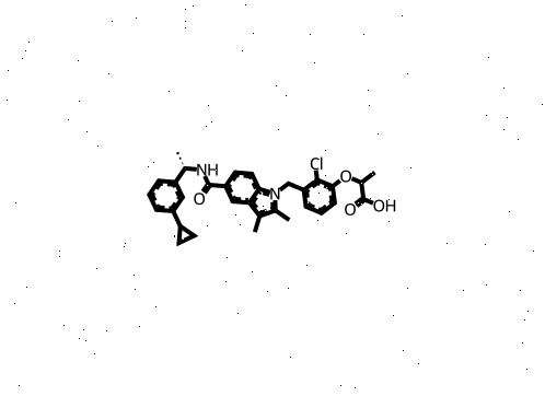 Cc1c(C)n(Cc2cccc(OC(C)C(=O)O)c2Cl)c2ccc(C(=O)N[C@@H](C)c3cccc(C4CC4)c3)cc12